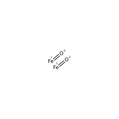 [O]=[Fe].[O]=[Fe]